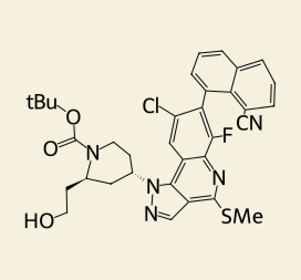 CSc1nc2c(F)c(-c3cccc4cccc(C#N)c34)c(Cl)cc2c2c1cnn2[C@H]1CCN(C(=O)OC(C)(C)C)[C@H](CCO)C1